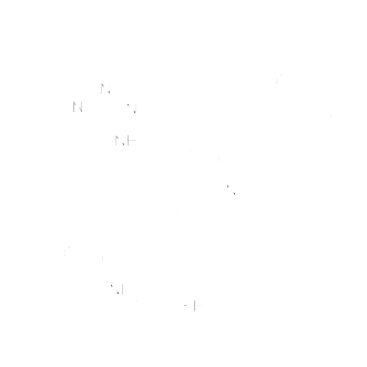 CCCCc1cc(C(=O)OC)cc(=O)n1Cc1ccc(-c2ccccc2-c2nnn[nH]2)c(C(N)=O)c1.[KH]